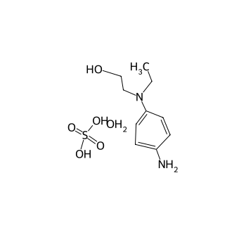 CCN(CCO)c1ccc(N)cc1.O.O=S(=O)(O)O